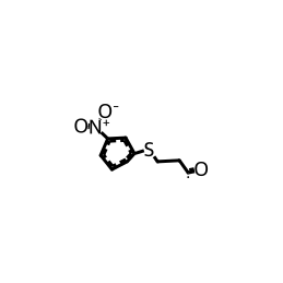 O=[C]CCSc1cccc([N+](=O)[O-])c1